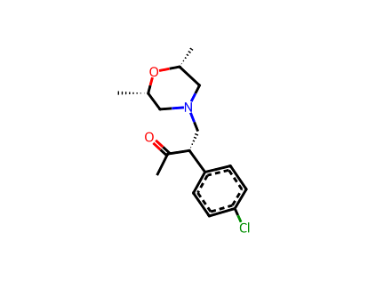 CC(=O)[C@H](CN1C[C@@H](C)O[C@@H](C)C1)c1ccc(Cl)cc1